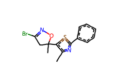 Cc1nc(-c2ccccc2)sc1C1(C)CC(Br)=NO1